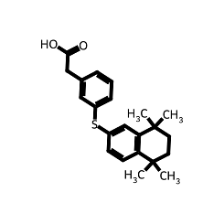 CC1(C)CCC(C)(C)c2cc(Sc3cccc(CC(=O)O)c3)ccc21